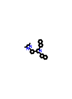 Cc1cc(C)nc(-c2cccc(-c3cc(-c4ccc5ccccc5c4)nc(-c4ccc5ccccc5c4)c3)c2)n1